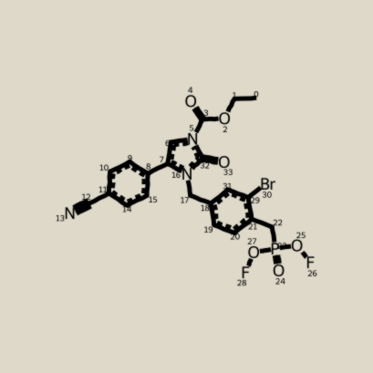 CCOC(=O)n1cc(-c2ccc(C#N)cc2)n(Cc2ccc(CP(=O)(OF)OF)c(Br)c2)c1=O